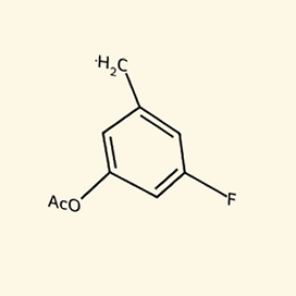 [CH2]c1cc(F)cc(OC(C)=O)c1